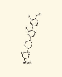 CCCCCC1COC(C2CCC(c3ccc(-c4ccc(CF)c(F)c4)c(F)c3)CC2)OC1